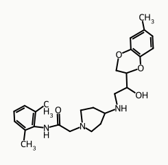 Cc1ccc2c(c1)OCC(C(O)CNC1CCN(CC(=O)Nc3c(C)cccc3C)CC1)O2